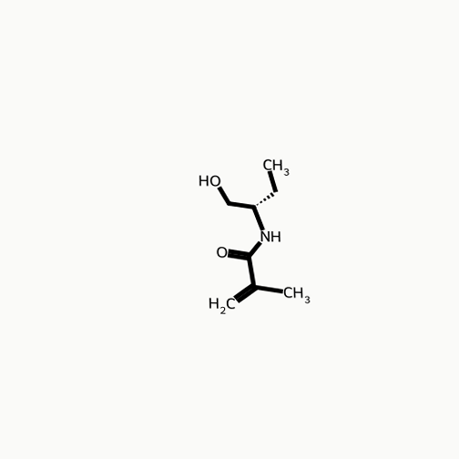 C=C(C)C(=O)N[C@@H](CC)CO